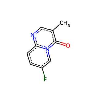 Cc1cnc2ccc(F)cn2c1=O